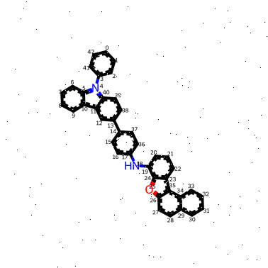 c1ccc(-n2c3ccccc3c3cc(-c4ccc(Nc5cccc6c5oc5ccc7ccccc7c56)cc4)ccc32)cc1